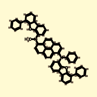 CN(c1ccc2ccc3c(N(c4ccccc4)c4cccc5c4oc4c(-c6ccccc6)cccc45)ccc4ccc1c2c43)c1cccc2c1oc1c(-c3ccccc3)cccc12